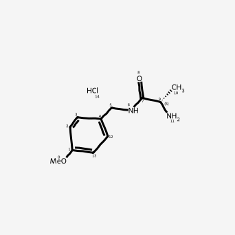 COc1ccc(CNC(=O)[C@H](C)N)cc1.Cl